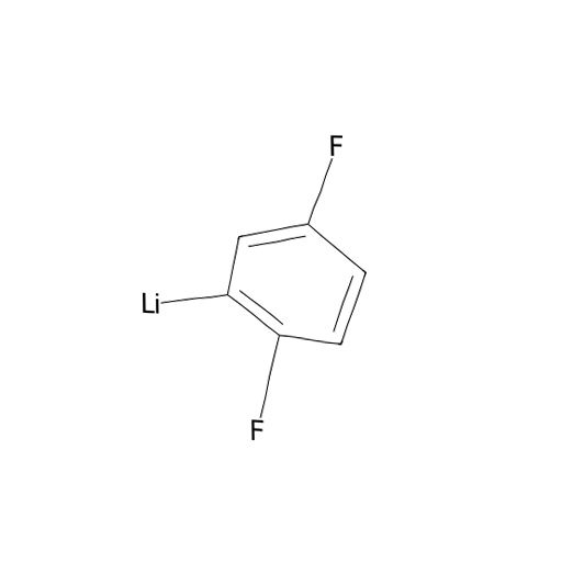 [Li][c]1cc(F)ccc1F